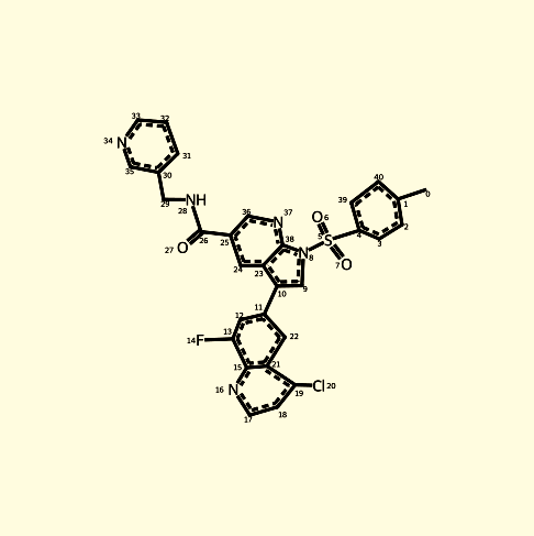 Cc1ccc(S(=O)(=O)n2cc(-c3cc(F)c4nccc(Cl)c4c3)c3cc(C(=O)NCc4cccnc4)cnc32)cc1